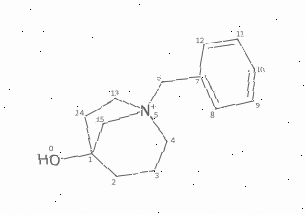 OC12CCC[N+](Cc3ccccc3)(CC1)C2